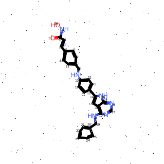 O=C(/C=C/c1ccc(CNc2ccc(-c3cc4c(NCc5ccccc5)ncnc4[nH]3)cc2)cc1)NO